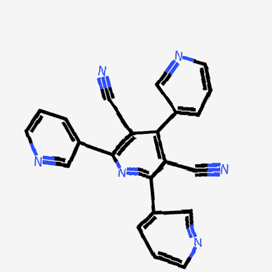 N#Cc1c(-c2cccnc2)nc(-c2cccnc2)c(C#N)c1-c1cccnc1